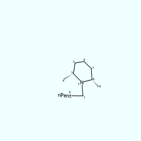 CCCCCCN1[C@H](C)CCC[C@@H]1C